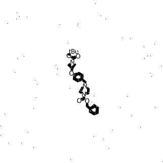 CC(C)(C)OC(=O)N1CC(Oc2ccc(CN3CCN(C(=O)OCc4ccccc4)CC3)cc2)C1